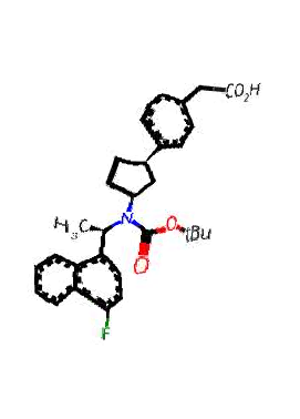 C[C@H](c1ccc(F)c2ccccc12)N(C(=O)OC(C)(C)C)[C@H]1CC[C@@H](c2ccc(CC(=O)O)cc2)C1